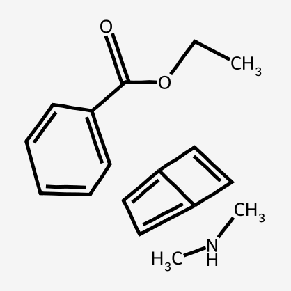 CCOC(=O)c1ccccc1.CNC.c1cc2ccc1-2